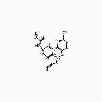 C#CCN(Cc1ccc(F)cc1)c1ccc(NC(=O)OC)cc1